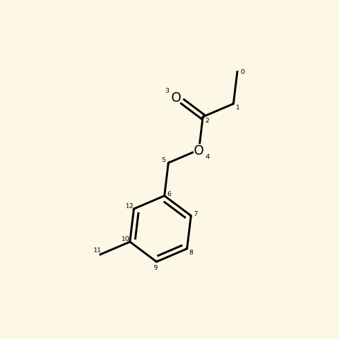 CCC(=O)OCc1cccc(C)c1